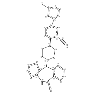 Cc1cccc(-c2ccc(N3CCN(C4c5ccccc5NC(=O)c5ccccc54)CC3)c(C#N)c2)n1